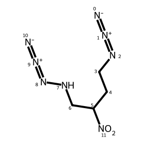 [N-]=[N+]=NCCC(CNN=[N+]=[N-])[N+](=O)[O-]